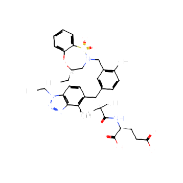 CC[C@@H]1CN(Cc2cc([C@@H](c3ccc4c(nnn4CC)c3C)C(C)(C)C(=O)N[C@@H](CCC(=O)O)C(=O)O)ccc2C)S(=O)(=O)c2ccccc2O1